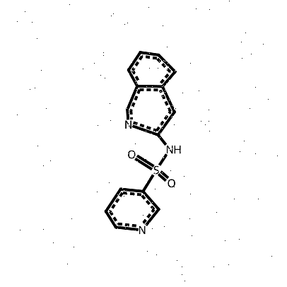 O=S(=O)(Nc1cc2ccccc2cn1)c1cccnc1